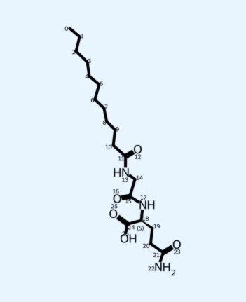 CCCCCCCCCCCC(=O)NCC(=O)N[C@@H](CCC(N)=O)C(=O)O